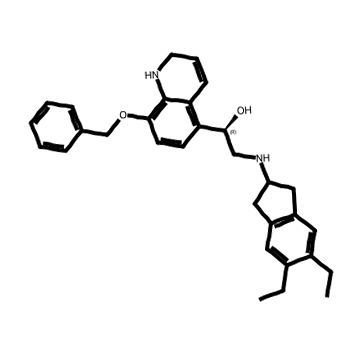 CCc1cc2c(cc1CC)CC(NC[C@H](O)c1ccc(OCc3ccccc3)c3c1C=CCN3)C2